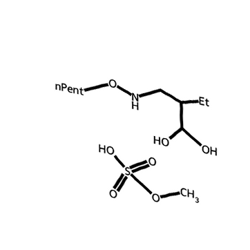 CCCCCONCC(CC)C(O)O.COS(=O)(=O)O